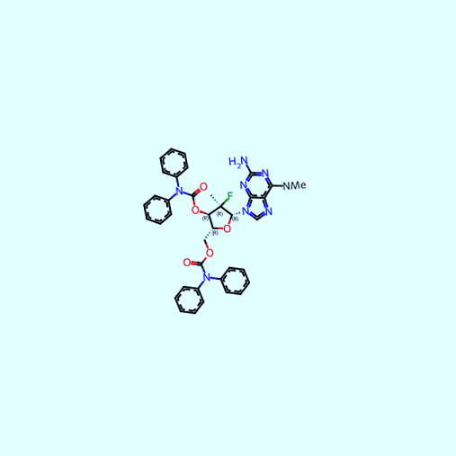 CNc1nc(N)nc2c1ncn2[C@@H]1O[C@H](COC(=O)N(c2ccccc2)c2ccccc2)[C@@H](OC(=O)N(c2ccccc2)c2ccccc2)[C@@]1(C)F